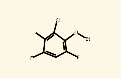 CCOc1c(F)cc(F)c(I)c1Cl